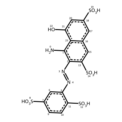 Nc1c(N=Nc2cc(S(=O)(=O)O)ccc2S(=O)(=O)O)c(S(=O)(=O)O)cc2cc(S(=O)(=O)O)[c]c(O)c12